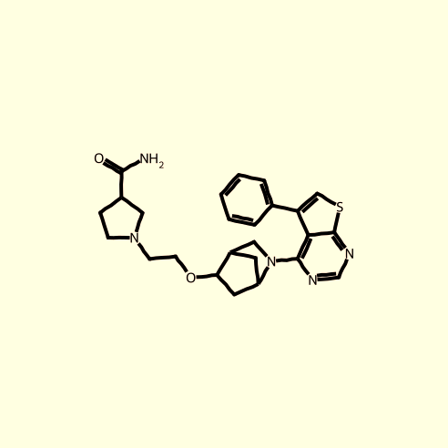 NC(=O)C1CCN(CCOC2CC3CC2CN3c2ncnc3scc(-c4ccccc4)c23)C1